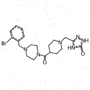 O=C(C1CCN(Cc2n[nH]c(=O)[nH]2)CC1)N1CCN(Cc2ccccc2Br)CC1